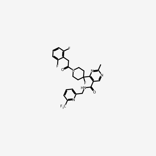 Cc1ncc(C(=O)NCc2cccc(C(F)(F)F)n2)c(C2(F)CCN(C(=O)Cc3c(F)cccc3F)CC2)n1